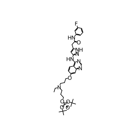 CCN(CCCOc1ccc2c(Nc3cc(CC(=O)Nc4cccc(F)c4)[nH]n3)ncnc2c1)CCCOP(=O)(OC(C)(C)C)OC(C)(C)C